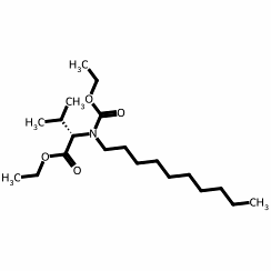 CCCCCCCCCCN(C(=O)OCC)[C@H](C(=O)OCC)C(C)C